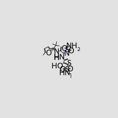 C=C(N[C@@H](c1ccc(C)o1)C(C)(C)C)/C(=N\S(N)(=O)=O)Nc1csc(S(=O)(=O)NCC)c1O